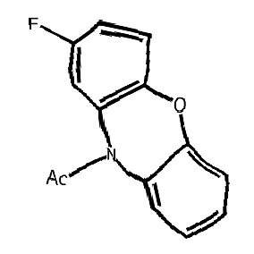 CC(=O)N1c2ccccc2Oc2ccc(F)cc21